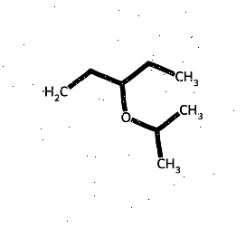 [CH2]CC(CC)OC(C)C